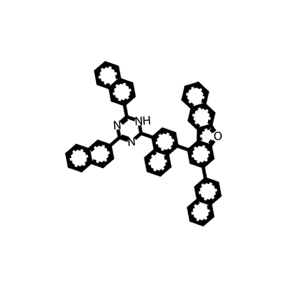 c1ccc2cc(C3=NC(c4ccc(-c5cc(-c6ccc7ccccc7c6)cc6oc7cc8ccccc8cc7c56)c5ccccc45)NC(c4ccc5ccccc5c4)=N3)ccc2c1